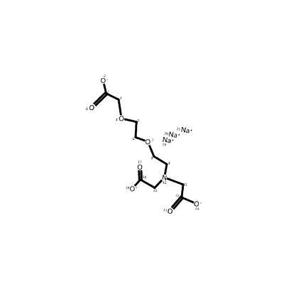 O=C([O-])COCCOCCN(CC(=O)[O-])CC(=O)[O-].[Na+].[Na+].[Na+]